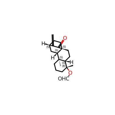 C=C1C(=O)[C@]23CC[C@H]1C[C@H]2[C@]1(C)CCC[C@@](C)(OC=O)[C@H]1CC3